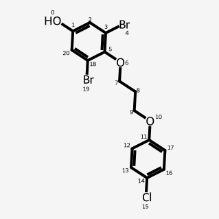 Oc1cc(Br)c(OCCCOc2ccc(Cl)cc2)c(Br)c1